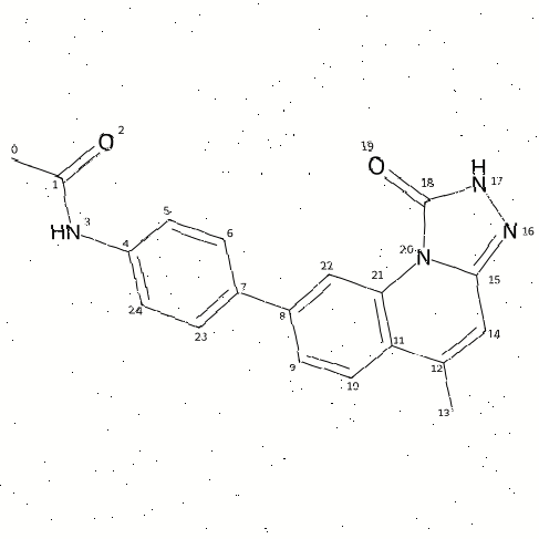 CC(=O)Nc1ccc(-c2ccc3c(C)cc4n[nH]c(=O)n4c3c2)cc1